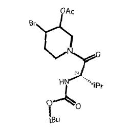 CC(=O)OC1CN(C(=O)[C@@H](NC(=O)OC(C)(C)C)C(C)C)CCC1Br